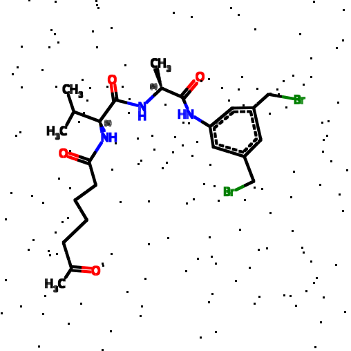 CC(=O)CCCCC(=O)N[C@H](C(=O)N[C@@H](C)C(=O)Nc1cc(CBr)cc(CBr)c1)C(C)C